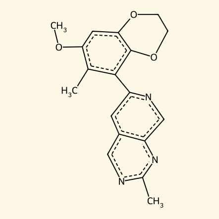 COc1cc2c(c(-c3cc4cnc(C)nc4cn3)c1C)OCCO2